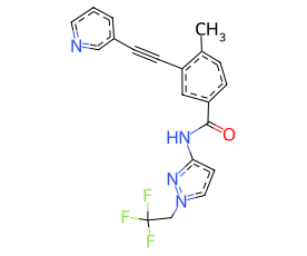 Cc1ccc(C(=O)Nc2ccn(CC(F)(F)F)n2)cc1C#Cc1cccnc1